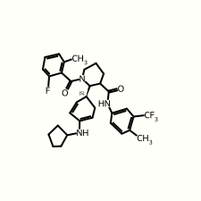 Cc1ccc(NC(=O)C2CCCN(C(=O)c3c(C)cccc3F)C2[C@@H]2C=CC(NC3CCCC3)=CC2)cc1C(F)(F)F